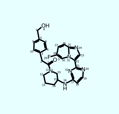 O=C(Cc1ccc(CO)cc1)N1CCCC(Nc2ccnc(-c3cnc4ccc(F)cn34)n2)C1